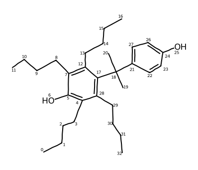 CCCCc1c(O)c(CCCC)c(CCCC)c(C(C)(C)c2ccc(O)cc2)c1CCCC